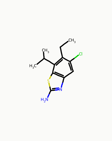 CCc1c(Cl)cc2nc(N)sc2c1C(C)C